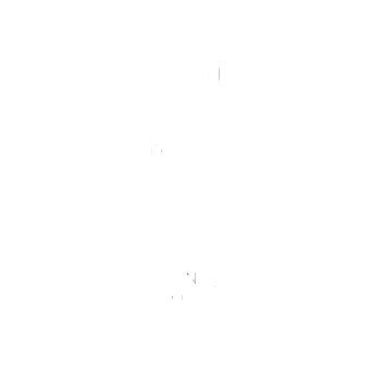 C/C(=C\c1ccc(Oc2ccc(Cl)cc2)cc1)[N+](=O)[O-]